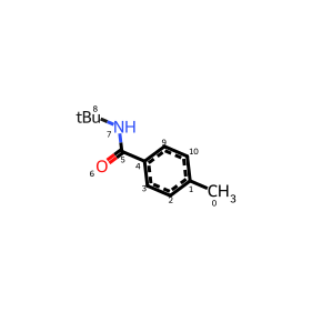 Cc1ccc(C(=O)NC(C)(C)C)cc1